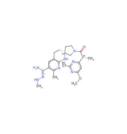 CN/N=C(\N)c1cc2c(nc1C)N[C@@]1(CC2)CCN(C(=O)[C@H](C)c2cc(OC)nc(C)n2)C1